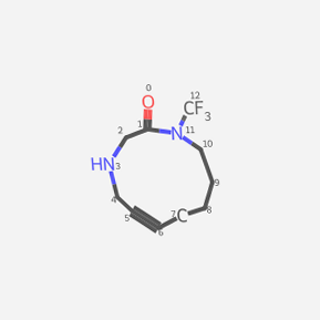 O=C1CNCC#CCCCCN1C(F)(F)F